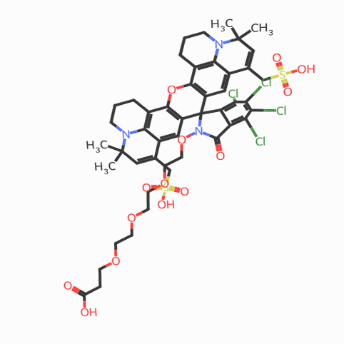 CC1(C)C=C(CS(=O)(=O)O)c2cc3c(c4c2N1CCC4)Oc1c(cc2c4c1CCCN4C(C)(C)C=C2CS(=O)(=O)O)C31c2c(Cl)c(Cl)c(Cl)c(Cl)c2C(=O)N1OCCOCCOCCOCCC(=O)O